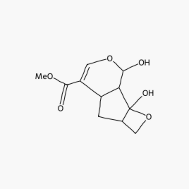 COC(=O)C1=COC(O)C2C1CC1COC12O